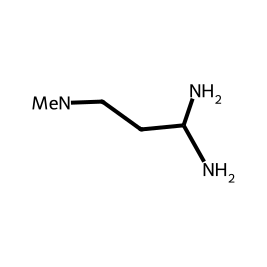 CNCCC(N)N